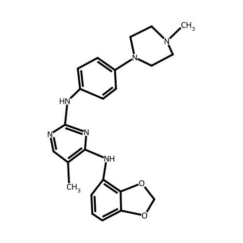 Cc1cnc(Nc2ccc(N3CCN(C)CC3)cc2)nc1Nc1cccc2c1OCO2